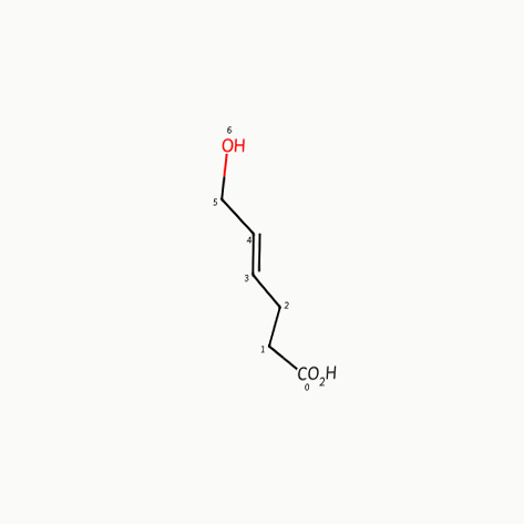 O=C(O)CCC=CCO